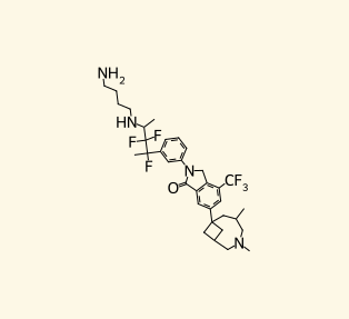 CC1CN(C)CC2CC(c3cc4c(c(C(F)(F)F)c3)CN(c3cccc(C(C)(F)C(F)(F)C(C)NCCCCN)c3)C4=O)(C1)C2